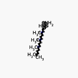 CC(C)=CCC/C(C)=C/CC/C(C)=C/CC/C(C)=C/CONS(N)(=O)=O